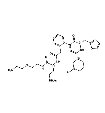 CC(=O)NCC[C@H](NC(=O)Cc1ccccc1NC(=O)[C@H](Cc1ccco1)NC(=O)[C@@H]1CCCN(C(C)=O)C1)C(=O)NCCOCCN